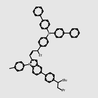 CCC(/C=C\c1cc2cc(-c3ccc(C(CC(C)C)C(C)(C)C)cc3)ccc2n1-c1ccc(C)cc1)c1ccc(N(c2ccc(-c3ccccc3)cc2)c2ccc(-c3ccccc3)cc2)cc1